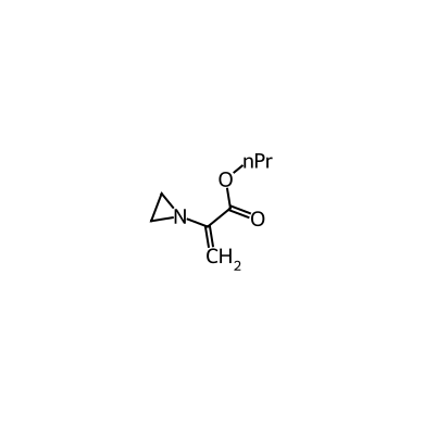 C=C(C(=O)OCCC)N1CC1